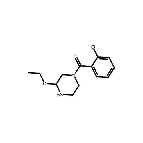 CCOC1CN(C(=O)c2ccccc2Cl)CCN1